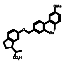 COc1ccc(F)c(-c2ccc(COc3ccc4c(c3)[C@@H]([C@@H](C)C(=O)O)CC4)cc2C(C)(C)C)c1